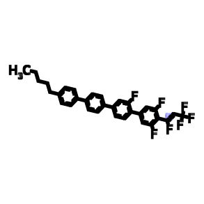 CCCCCc1ccc(-c2ccc(-c3ccc(-c4cc(F)c(/C(F)=C/C(F)(F)F)c(F)c4)c(F)c3)cc2)cc1